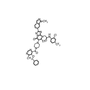 CCc1c(N2CCN(C(=O)c3ncnc(C)c3OCc3ccccc3)CC2)c(=O)n2nc(-c3ccc4cnn(C)c4c3)nc2n1CC(=O)Nc1ccc(C(F)(F)F)cc1Cl